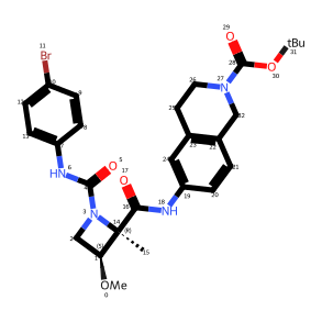 CO[C@H]1CN(C(=O)Nc2ccc(Br)cc2)[C@@]1(C)C(=O)Nc1ccc2c(c1)CCN(C(=O)OC(C)(C)C)C2